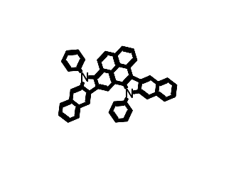 c1ccc(-n2c3cc4ccccc4cc3c3cc4c5c(ccc6cccc(c65)c5c6cc7ccccc7cc6n(-c6ccccc6)c45)c32)cc1